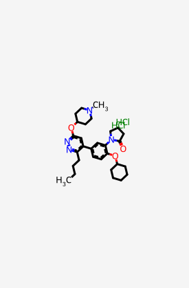 CCCCc1nnc(OC2CCN(C)CC2)cc1-c1ccc(OC2CCCCC2)c(N2CCCC2=O)c1.Cl.Cl